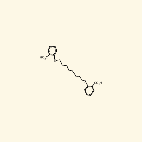 O=C(O)c1ccccc1SSCCCCCCSSc1ccccc1C(=O)O